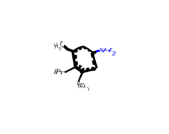 Cc1cc(N)cc([N+](=O)[O-])c1C(C)C